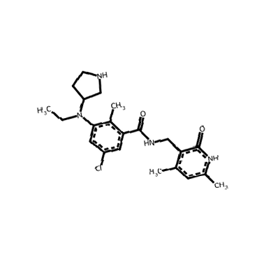 CCN(c1cc(Cl)cc(C(=O)NCc2c(C)cc(C)[nH]c2=O)c1C)C1CCNC1